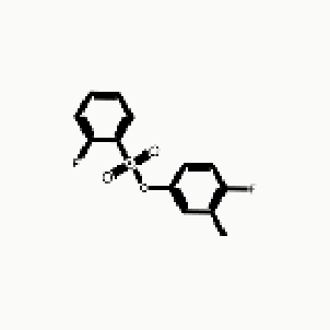 Cc1cc(OS(=O)(=O)c2ccccc2F)ccc1F